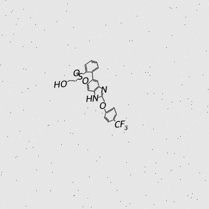 O=S(=O)(CCO)c1ccccc1-c1ccc2[nH]c(COc3ccc(C(F)(F)F)cc3)nc2c1